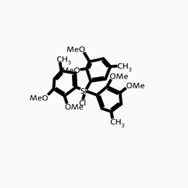 COc1cc(C)cc([Si](Cl)(c2cc(C)cc(OC)c2OC)c2cc(C)cc(OC)c2OC)c1OC